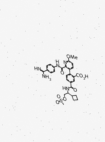 COc1ccc(-c2ccc(C(=O)NC(COS(C)(=O)=O)C3CCC3)cc2C(=O)O)c(C(=O)Nc2ccc(C(=N)N)cc2)n1